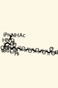 CC(=O)NC(C(=O)NC(CC(=O)OC(C)(C)C)C(=O)N[C@@H](C)C(=O)NCCOCCOCCOCCOCCC(=O)OC(C)(C)C)C(C)C